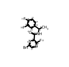 CC(NC(=O)c1nc(Br)cnc1F)c1ccc(F)c(F)c1